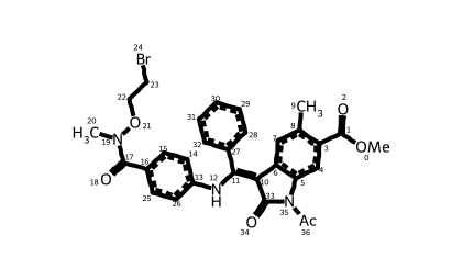 COC(=O)c1cc2c(cc1C)/C(=C(/Nc1ccc(C(=O)N(C)OCCBr)cc1)c1ccccc1)C(=O)N2C(C)=O